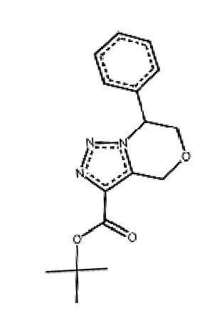 CC(C)(C)OC(=O)c1nnn2c1COCC2c1ccccc1